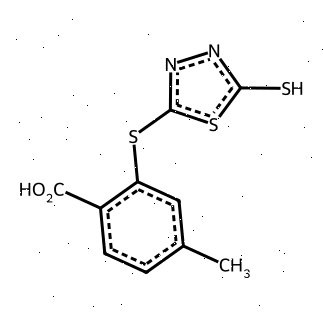 Cc1ccc(C(=O)O)c(Sc2nnc(S)s2)c1